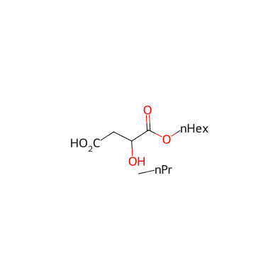 CCCC.CCCCCCOC(=O)C(O)CC(=O)O